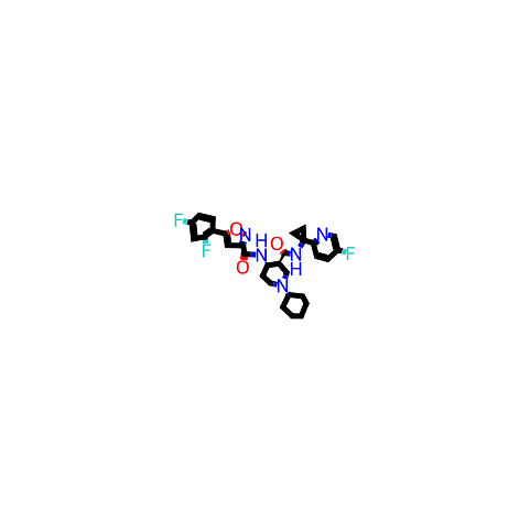 O=C(N[C@H]1CCN(C2CCCCC2)C[C@@H]1C(=O)NC1(c2ccc(F)cn2)CC1)c1cc(-c2ccc(F)cc2F)on1